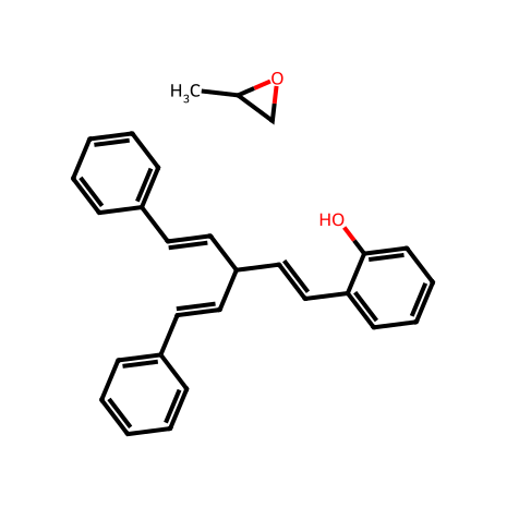 CC1CO1.Oc1ccccc1C=CC(C=Cc1ccccc1)C=Cc1ccccc1